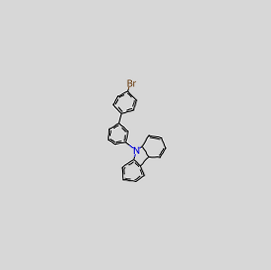 Brc1ccc(-c2cccc(N3c4ccccc4C4C=CC=CC43)c2)cc1